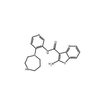 Nc1sc2cccnc2c1C(=O)Nc1cnccc1N1CCCNCC1